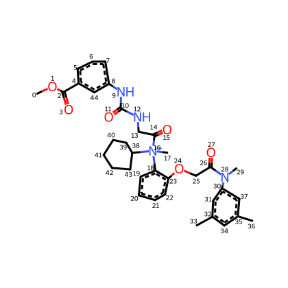 COC(=O)c1cccc(NC(=O)NCC(=O)[N+](C)(c2ccccc2OCC(=O)N(C)c2cc(C)cc(C)c2)C2CCCCC2)c1